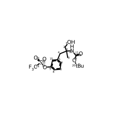 CC(CO)(Cc1cccc(OS(=O)(=O)C(F)(F)F)c1)NC(=O)OC(C)(C)C